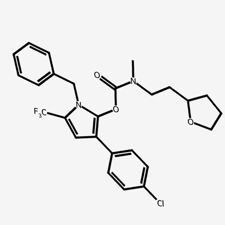 CN(CCC1CCCO1)C(=O)Oc1c(-c2ccc(Cl)cc2)cc(C(F)(F)F)n1Cc1ccccc1